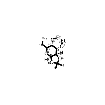 CCO[C@@H]1[C@H]2OC(C)(C)O[C@H]2OC(CF)[C@@H]1OCC